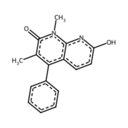 Cc1c(-c2ccccc2)c2ccc(O)nc2n(C)c1=O